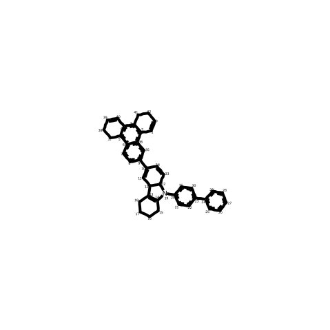 C1=Cc2c(c3c(c4ccc(C5=CC6C7=C(CCCC7)N(c7ccc(-c8ccccc8)cc7)C6C=C5)cc24)CCC=C3)CC1